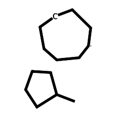 C[C]1CCCC1.[CH]1CCCCCCC1